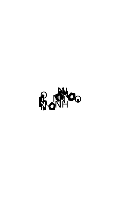 COc1ccc(-n2nnc3cnc(N[C@@H]4CC[C@H](C5CN(C=O)CCN5C)C4)nc32)cc1